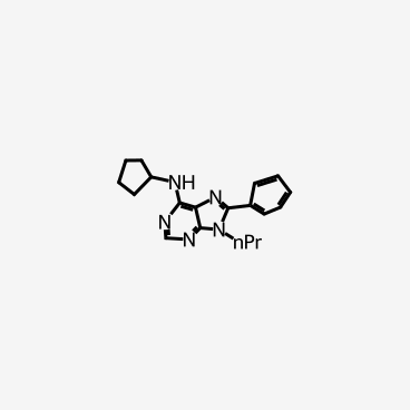 CCCn1c(-c2ccccc2)nc2c(NC3CCCC3)ncnc21